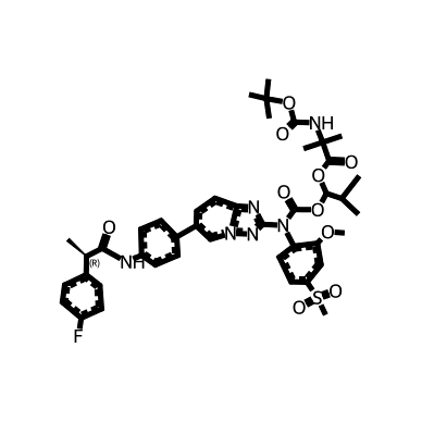 COc1cc(S(C)(=O)=O)ccc1N(C(=O)OC(OC(=O)C(C)(C)NC(=O)OC(C)(C)C)C(C)C)c1nc2ccc(-c3ccc(NC(=O)[C@H](C)c4ccc(F)cc4)cc3)cn2n1